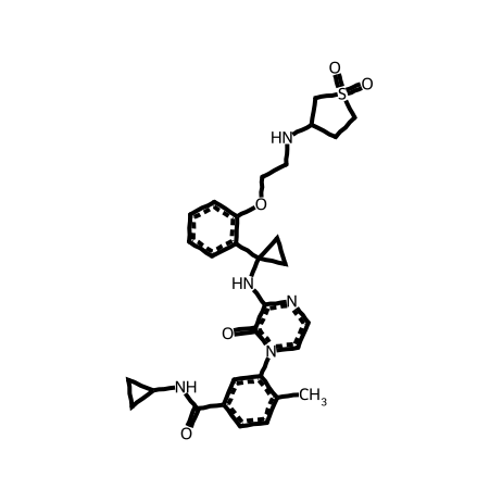 Cc1ccc(C(=O)NC2CC2)cc1-n1ccnc(NC2(c3ccccc3OCCNC3CCS(=O)(=O)C3)CC2)c1=O